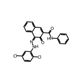 O=C(Nc1ccccc1)C1=Cc2ccccc2/C(=N/Nc2cc(Cl)ccc2Cl)C1=O